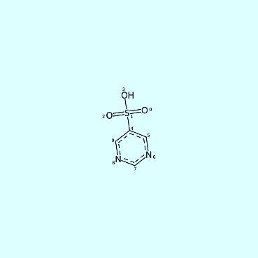 O=S(=O)(O)c1cncnc1